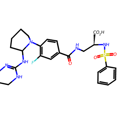 O=C(NC[C@H](NS(=O)(=O)c1ccccc1)C(=O)O)c1ccc(N2CCCCC2NC2=NCCCN2)c(F)c1